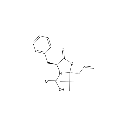 C=CC[C@@]1(C(C)(C)C)OC(=O)[C@H](Cc2ccccc2)N1C(=O)O